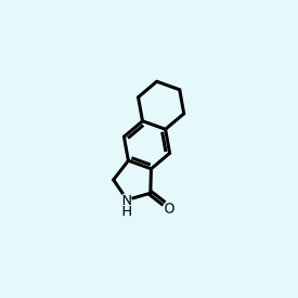 O=C1NCc2cc3c(cc21)CCCC3